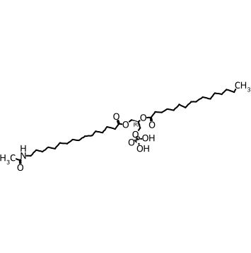 CCCCCCCCCCCCCCCC(=O)O[C@H](COC(=O)CCCCCCCCCCCCCCCNC(C)=O)COP(=O)(O)O